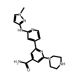 Cn1ccc(Nc2cc(-c3cc(C(N)=O)cc(N4CCNCC4)n3)ccn2)n1